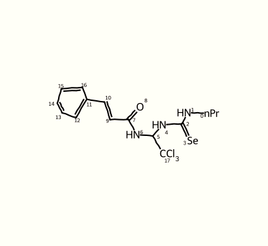 CCCNC(=[Se])NC(NC(=O)/C=C/c1ccccc1)C(Cl)(Cl)Cl